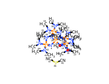 CN(C)P(=N[PH](N=P(N(C)C)(N(C)C)N(C)C)(N=P(N(C)C)(N(C)C)N(C)C)N=P(N(C)C)(N(C)C)N(C)C)(N(C)C)N(C)C.N#CSC#N